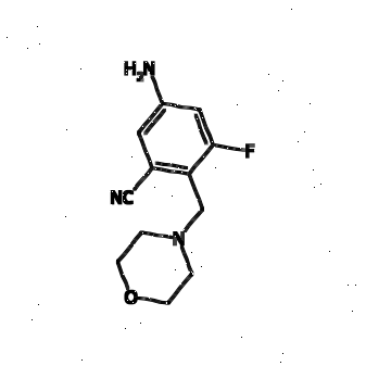 N#Cc1cc(N)cc(F)c1CN1CCOCC1